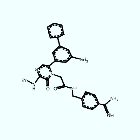 CC(C)Nc1ncc(-c2cc(N)cc(-c3ccccc3)c2)n(CC(=O)NCc2ccc(C(=N)N)cc2)c1=O